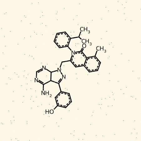 Cc1cccc2cc(CN3N=C(c4cccc(O)c4)C4C(N)=NC=NC43)n(-c3ccccc3C(C)C)c(=O)c12